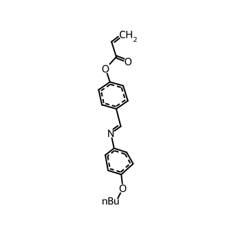 C=CC(=O)Oc1ccc(C=Nc2ccc(OCCCC)cc2)cc1